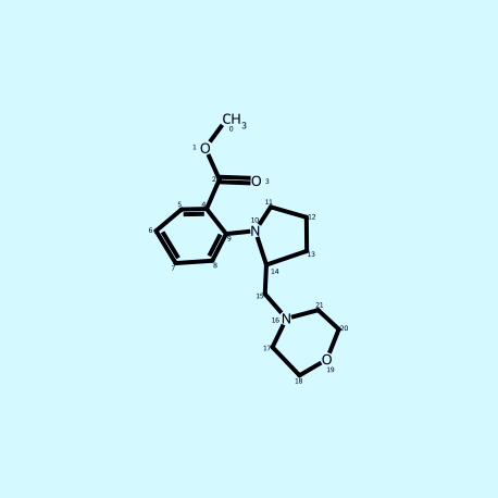 COC(=O)c1ccccc1N1CCCC1CN1CCOCC1